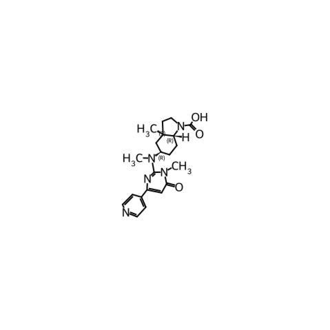 CN(c1nc(-c2ccncc2)cc(=O)n1C)[C@@H]1CC[C@H]2N(C(=O)O)CC[C@@]2(C)C1